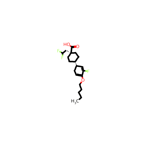 CCCCCOC1=CCC([C@H]2CC[C@](CC(F)F)(C(=O)O)CC2)C=C1F